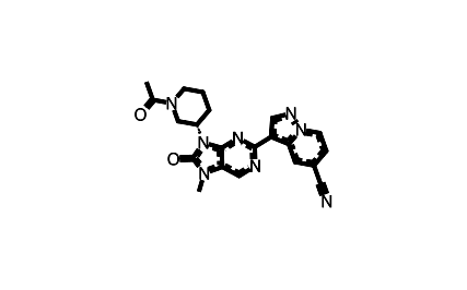 CC(=O)N1CCC[C@H](n2c(=O)n(C)c3cnc(-c4cnn5ccc(C#N)cc45)nc32)C1